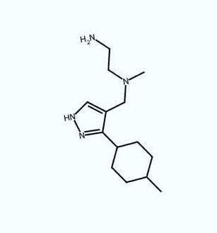 CC1CCC(c2n[nH]cc2CN(C)CCN)CC1